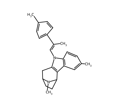 C/C(=C\n1c2c(c3cc(C)ccc31)C1CCC(C2)N1C)c1ccc(C)cc1